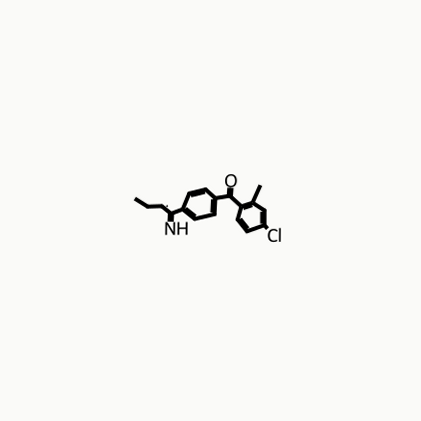 CC[CH]C(=N)c1ccc(C(=O)c2ccc(Cl)cc2C)cc1